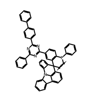 c1ccc(-c2ccc(-c3nc(-c4ccccc4)nc(-c4ccc5c(c4)C4(c6ccccc6-n6c7ccccc7c7cccc4c76)c4ccccc4P5c4ccccc4)n3)cc2)cc1